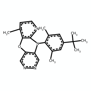 Cc1ccnc2c1Oc1cnncc1N2c1c(C)cc(C(C)(C)C)cc1C